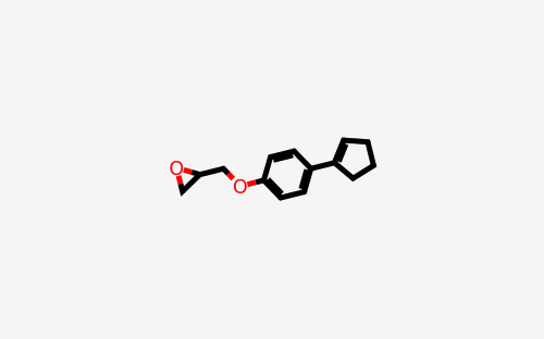 C1=C(c2ccc(OCC3CO3)cc2)CCC1